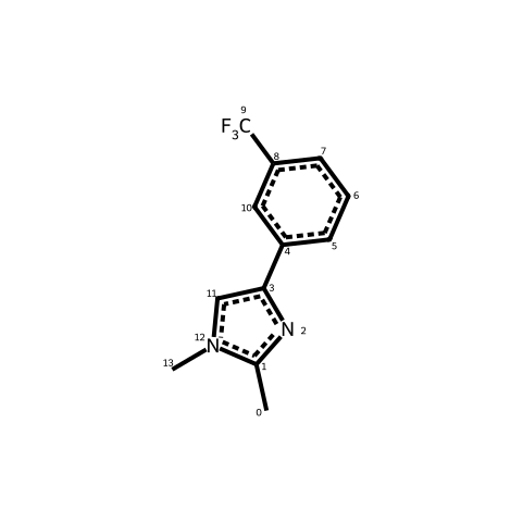 Cc1nc(-c2cccc(C(F)(F)F)c2)cn1C